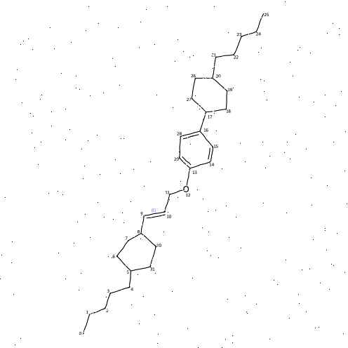 CCCCCC1CCC(/C=C/COc2ccc(C3CCC(CCCCC)CC3)cc2)CC1